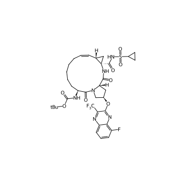 CC(C)(C)OC(=O)N[C@H]1CCCCC/C=C\[C@@H]2C[C@@]2(C(=O)NS(=O)(=O)C2CC2)NC(=O)[C@@H]2C[C@@H](Oc3nc4c(F)cccc4nc3C(F)(F)F)CN2C1=O